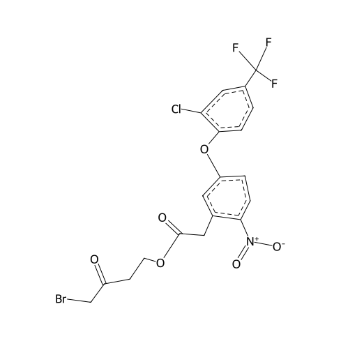 O=C(CBr)CCOC(=O)Cc1cc(Oc2ccc(C(F)(F)F)cc2Cl)ccc1[N+](=O)[O-]